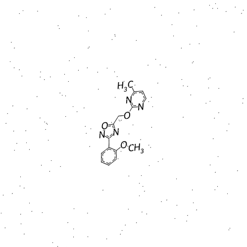 COc1ccccc1-c1noc(COc2nccc(C)n2)n1